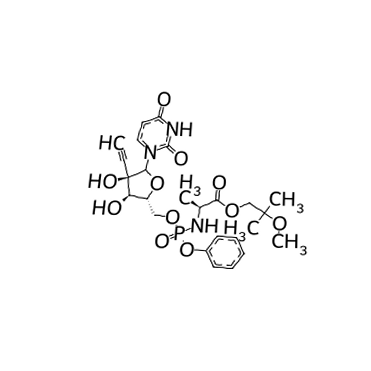 C#C[C@]1(O)C(n2ccc(=O)[nH]c2=O)O[C@H](COP(=O)(N[C@@H](C)C(=O)OCC(C)(C)OC)Oc2ccccc2)[C@H]1O